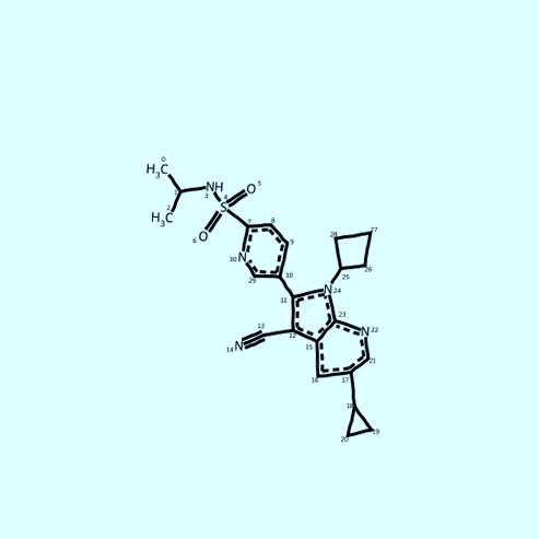 CC(C)NS(=O)(=O)c1ccc(-c2c(C#N)c3cc(C4CC4)cnc3n2C2CCC2)cn1